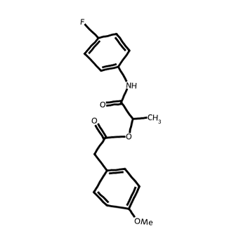 COc1ccc(CC(=O)OC(C)C(=O)Nc2ccc(F)cc2)cc1